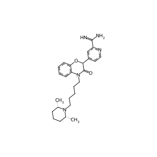 C[C@@H]1CCC[C@H](C)N1CCCCCN1C(=O)C(c2ccnc(C(=N)N)c2)Oc2ccccc21